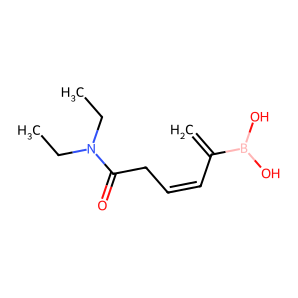 C=C(/C=C\CC(=O)N(CC)CC)B(O)O